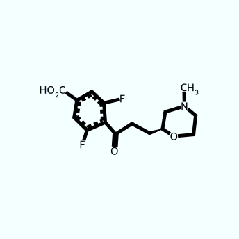 CN1CCO[C@@H](CCC(=O)c2c(F)cc(C(=O)O)cc2F)C1